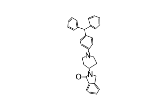 O=C1c2ccccc2CN1C1CCN(c2ccc(C(c3ccccc3)c3ccccc3)cc2)CC1